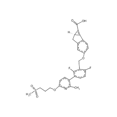 Cc1nc(OCCCS(C)(=O)=O)ccc1-c1ccc(F)c(COc2ccc3c(c2)C[C@H]2C(C(=O)O)=C32)c1F